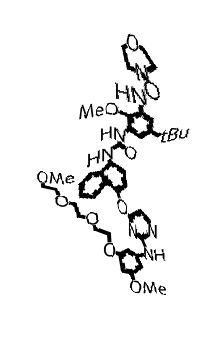 COCCOCCOCCOc1cc(Nc2nccc(Oc3ccc(NC(=O)Nc4cc(C(C)(C)C)cc(NON5CCOCC5)c4OC)c4ccccc34)n2)cc(OC)c1